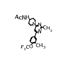 CC(=O)NC1CCN(c2cc(-c3ccc(OC(F)(F)F)c(C)c3)nc(C)n2)CC1